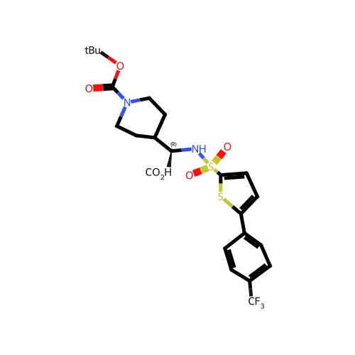 CC(C)(C)OC(=O)N1CCC([C@@H](NS(=O)(=O)c2ccc(-c3ccc(C(F)(F)F)cc3)s2)C(=O)O)CC1